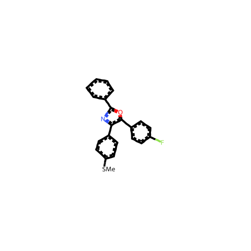 CSc1ccc(-c2nc(-c3ccccc3)oc2-c2ccc(F)cc2)cc1